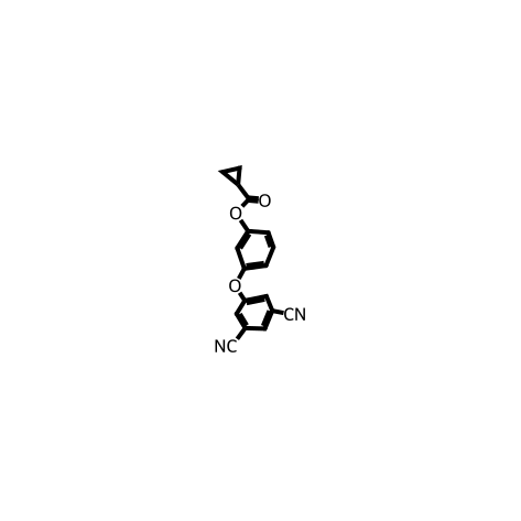 N#Cc1cc(C#N)cc(Oc2cccc(OC(=O)C3CC3)c2)c1